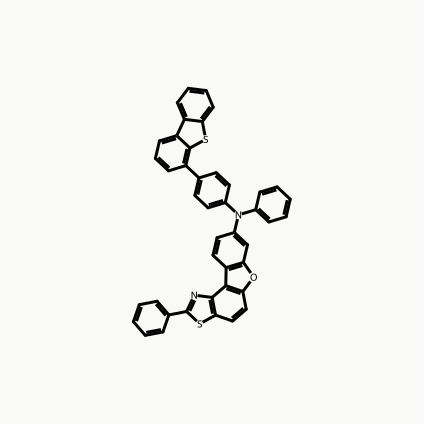 c1ccc(-c2nc3c(ccc4oc5cc(N(c6ccccc6)c6ccc(-c7cccc8c7sc7ccccc78)cc6)ccc5c43)s2)cc1